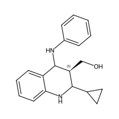 OC[C@@H]1C(Nc2ccccc2)c2ccccc2NC1C1CC1